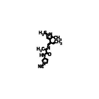 C=C/C(=C\N=C(/C)C(=O)N[C@@H]1CCN(C#N)C1)c1cn(C)nc1C